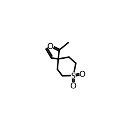 C=CC1(C(C)=O)CCS(=O)(=O)CC1